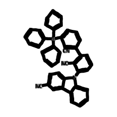 N#Cc1ccc2c(c1)c1ccccc1n2-c1cccc(-c2cccc([Si](c3ccccc3)(c3ccccc3)c3ccccc3)c2C#N)c1C#N